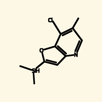 Cc1cnc2cc([SiH](C)C)oc2c1Cl